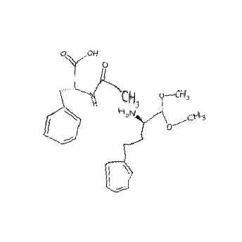 CC(=O)N[C@H](Cc1ccccc1)C(=O)O.COC(OC)[C@H](N)CCc1ccccc1